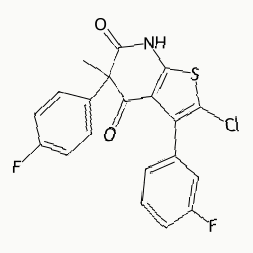 CC1(c2ccc(F)cc2)C(=O)Nc2sc(Cl)c(-c3cccc(F)c3)c2C1=O